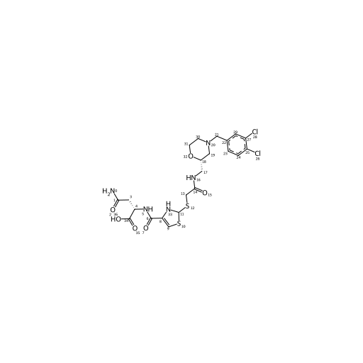 NC(=O)C[C@H](NC(=O)C1=CSC(SCC(=O)NC[C@H]2CN(Cc3ccc(Cl)c(Cl)c3)CCO2)N1)C(=O)O